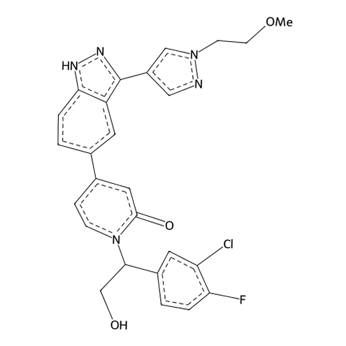 COCCn1cc(-c2n[nH]c3ccc(-c4ccn(C(CO)c5ccc(F)c(Cl)c5)c(=O)c4)cc23)cn1